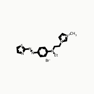 CCN(CCn1cc[n+](C)c1)c1ccc(N=Nc2nccs2)cc1.[Br-]